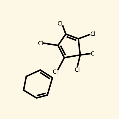 C1=CCCC=C1.ClC1=C(Cl)C(Cl)(Cl)C(Cl)=C1Cl